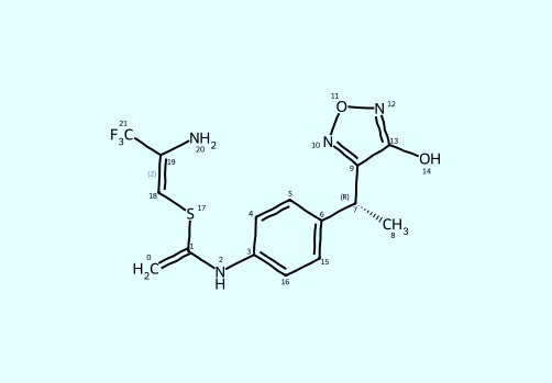 C=C(Nc1ccc([C@@H](C)c2nonc2O)cc1)S/C=C(\N)C(F)(F)F